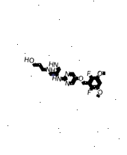 COc1cc(OC)c(F)c(COc2cnc(N/C(C=N)=C/NCCCO)nc2)c1F